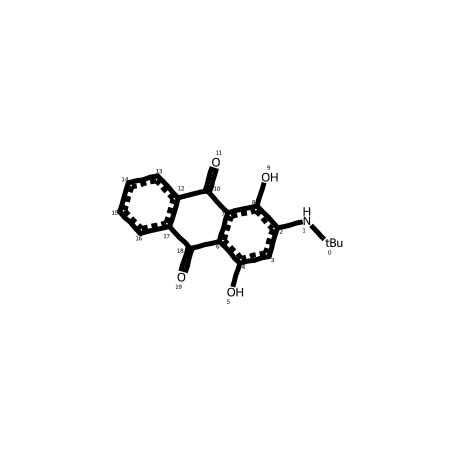 CC(C)(C)Nc1cc(O)c2c(c1O)C(=O)c1ccccc1C2=O